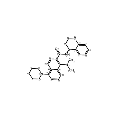 CN(C)c1c(C(=O)N[C@H]2CCOc3ccccc32)cnc2c(N3CCCCC3)cccc12